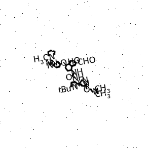 C[C@H]1CCCCN1c1nnc2ccc(O[C@@H]3CC[C@H](NC(=O)Nc4cc(C(C)(C)C)nn4-c4cnnc(OCCN(C)C)c4)c4ccccc43)cn12.O=CO